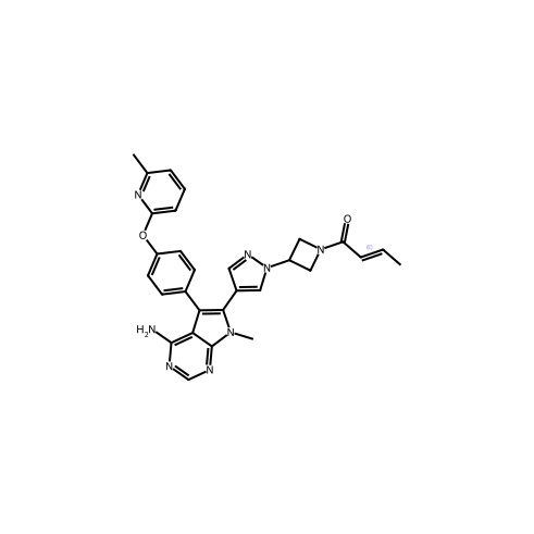 C/C=C/C(=O)N1CC(n2cc(-c3c(-c4ccc(Oc5cccc(C)n5)cc4)c4c(N)ncnc4n3C)cn2)C1